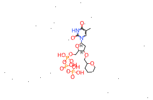 Cc1cn([C@H]2C[C@@H](OCC3CCCCO3)C(COP(=O)(O)OP(=O)(O)OP(=O)(O)O)O2)c(=O)[nH]c1=O